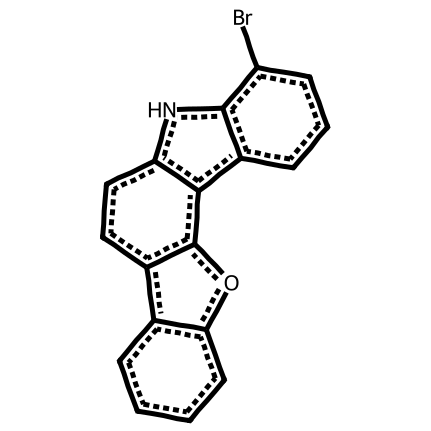 Brc1cccc2c1[nH]c1ccc3c4ccccc4oc3c12